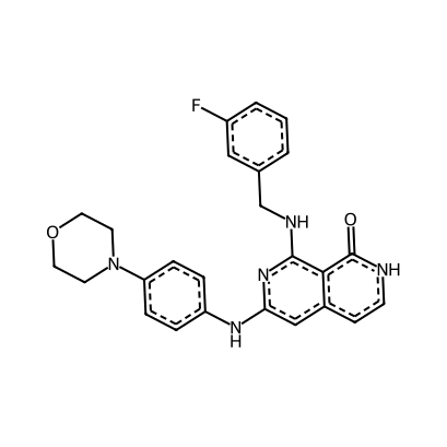 O=c1[nH]ccc2cc(Nc3ccc(N4CCOCC4)cc3)nc(NCc3cccc(F)c3)c12